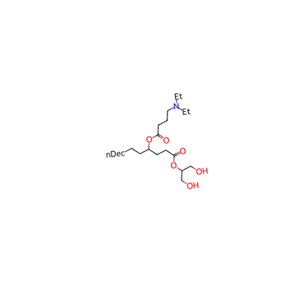 CCCCCCCCCCCCC(CCC(=O)OC(CO)CO)OC(=O)CCCN(CC)CC